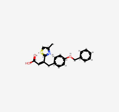 Cc1csc(C(=CC(=O)O)Cc2ccc(OCc3ccccc3)cc2)n1